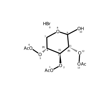 Br.CC(=O)OO[C@H]1[C@H](OOC(C)=O)COC(O)[C@@H]1OOC(C)=O